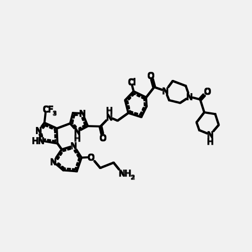 NCCOc1ccnc(-c2[nH]nc(C(F)(F)F)c2-c2cnc(C(=O)NCc3ccc(C(=O)N4CCN(C(=O)C5CCNCC5)CC4)c(Cl)c3)[nH]2)n1